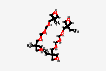 CC1(COCOCOCC2(C)COC2)COC1.CCC1(COCOCOCC2(CC)COC2)COC1